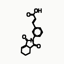 O=C(O)C=Cc1cccc(N2C(=O)C3=CCCCC3C2=O)c1